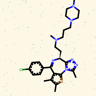 Cc1sc2c(c1C)C(c1ccc(Cl)cc1)=N[C@@H](CCN(C)CCCN1CCN(C)CC1)c1nnc(C)n1-2